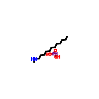 CCCCCCCCCCCCNC.O=[PH](O)O